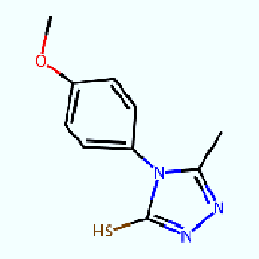 COc1ccc(-n2c(C)nnc2S)cc1